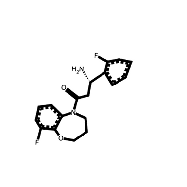 N[C@@H](CC(=O)N1CCCOc2c(F)cccc21)c1ccccc1F